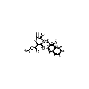 CCOC(=O)C1CNC(=O)N(Sc2ccc3ccccc3c2F)C1=O